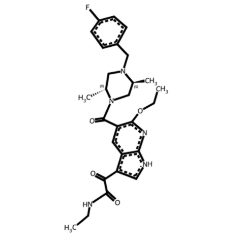 CCNC(=O)C(=O)c1c[nH]c2nc(OCC)c(C(=O)N3C[C@H](C)N(Cc4ccc(F)cc4)C[C@H]3C)cc12